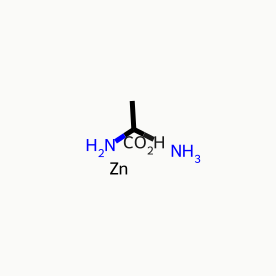 CC(N)C(=O)O.N.[Zn]